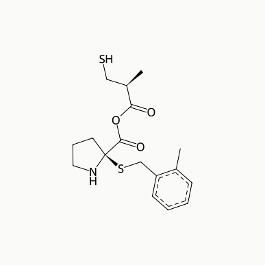 Cc1ccccc1CS[C@]1(C(=O)OC(=O)[C@H](C)CS)CCCN1